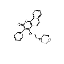 O=c1oc2c(ccc3ccccc32)c(OCCN2CCOCC2)c1-c1ccccc1